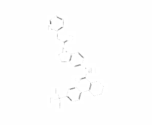 O=C(Nc1ccc2c(c1)CCN2C(=O)Cc1ccccn1)C1=C(c2ccc(C(F)(F)F)cc2)CCCC1